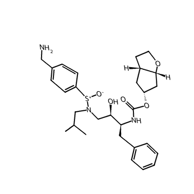 CC(C)CN(C[C@@H](O)[C@H](Cc1ccccc1)NC(=O)O[C@@H]1C[C@@H]2CCO[C@@H]2C1)[S+]([O-])c1ccc(CN)cc1